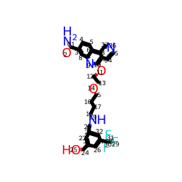 NC(=O)c1ccc2c(c1)nc(OCCOCCCCNCc1cc(CO)cc(C(F)(F)F)c1)c1ccncc12